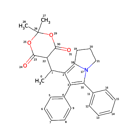 CC(c1c(-c2ccccc2)c(-c2ccccc2)n2c1CCC2)C1C(=O)OC(C)(C)OC1=O